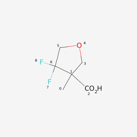 CC1(C(=O)O)COCC1(F)F